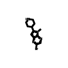 Cn1c(C2CCNCC2)cc2nc(Br)cnc21